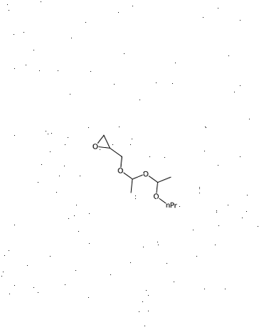 CCCOC(C)OC(C)OCC1CO1